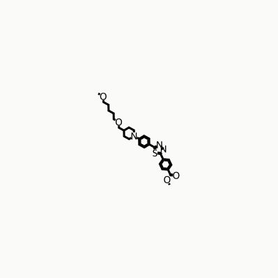 COCCCCCOCC1CCN(c2ccc(-c3nnc(-c4ccc(C(=O)OC)cc4)s3)cc2)CC1